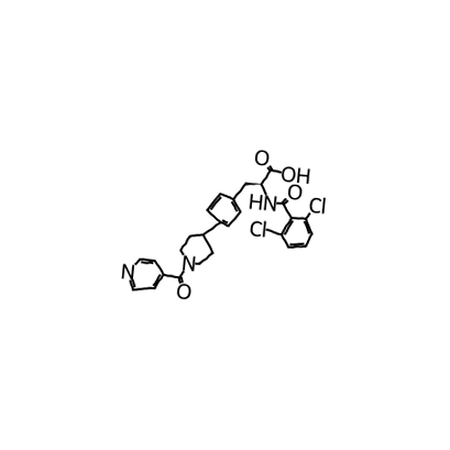 O=C(N[C@@H](Cc1ccc(C2CCN(C(=O)c3ccncc3)CC2)cc1)C(=O)O)c1c(Cl)cccc1Cl